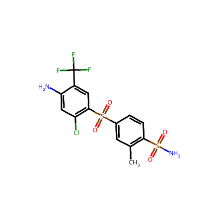 Cc1cc(S(=O)(=O)c2cc(C(F)(F)F)c(N)cc2Cl)ccc1S(N)(=O)=O